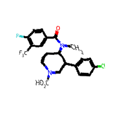 CN(C(=O)c1ccc(F)c(C(F)(F)F)c1)C1CCN(C(=O)O)CC1c1ccc(Cl)cc1